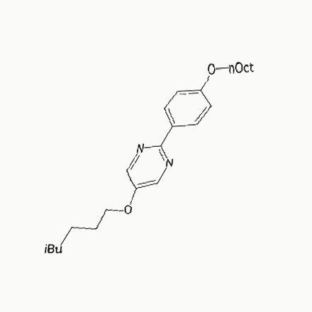 CCCCCCCCOc1ccc(-c2ncc(OCCCC(C)CC)cn2)cc1